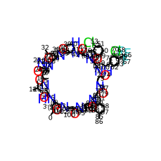 CC[C@H](C)[C@@H]1NC(=O)[C@H](CC(C)C)N(C)C(=O)C[C@@H](C(=O)N(C)C)N(C)C(=O)[C@H]([C@@H](C)CC)N(C)C(=O)C2(CCCC2)NC(=O)[C@H](Cc2ccccc2Cl)N(C)C(=O)[C@H](CCc2ccc(C(F)(F)F)c(Cl)c2)NC(=O)CN(C)C(=O)[C@H](Cc2ccc(C)cc2)N(C)C(=O)[C@@H]2CCN2C(=O)[C@H](C)N(C)C1=O